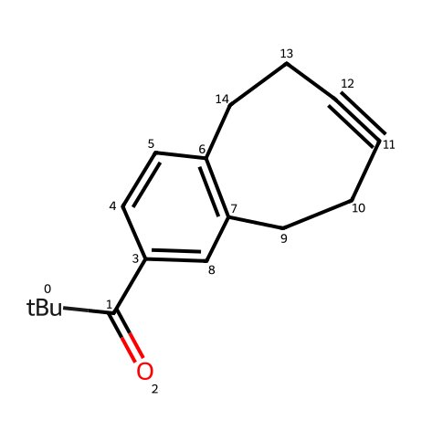 CC(C)(C)C(=O)c1ccc2c(c1)CCC#CCC2